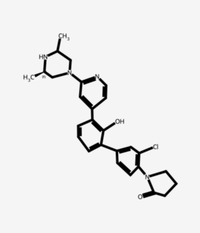 CC1CN(c2cc(-c3cccc(-c4ccc(N5CCCC5=O)c(Cl)c4)c3O)ccn2)C[C@@H](C)N1